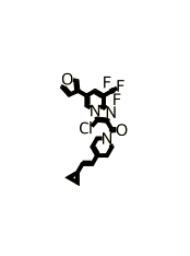 O=C(c1nc2c(C(F)(F)F)cc(-c3ccoc3)cn2c1Cl)N1CC=C(C=CC2CC2)CC1